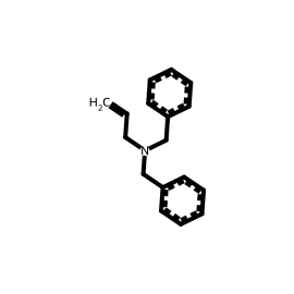 C=CCN(Cc1ccccc1)Cc1ccccc1